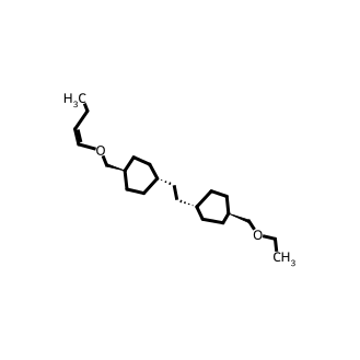 CC/C=C\OC[C@H]1CC[C@H](CC[C@H]2CC[C@H](COCC)CC2)CC1